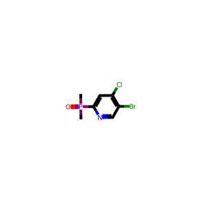 CP(C)(=O)c1cc(Cl)c(Br)cn1